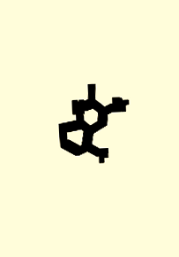 Cc1nc2cccc(F)c2cc1Br